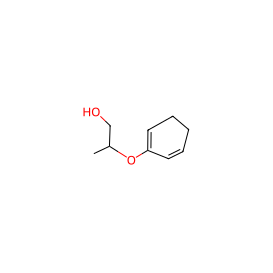 CC(CO)OC1=CCCC=C1